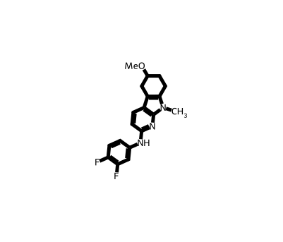 COC1CCc2c(c3ccc(Nc4ccc(F)c(F)c4)nc3n2C)C1